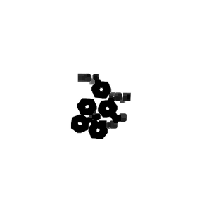 COC(=O)c1cccc(C(=O)O)c1.C[PH](c1ccccc1)(c1ccccc1)c1ccccc1.O=S(=O)(O)c1ccccc1